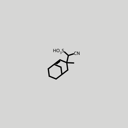 CC1(C(C#N)S(=O)(=O)O)C=C2CCCC(C2)C1